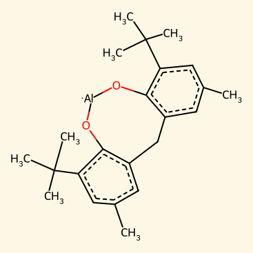 Cc1cc2c(c(C(C)(C)C)c1)[O][Al][O]c1c(cc(C)cc1C(C)(C)C)C2